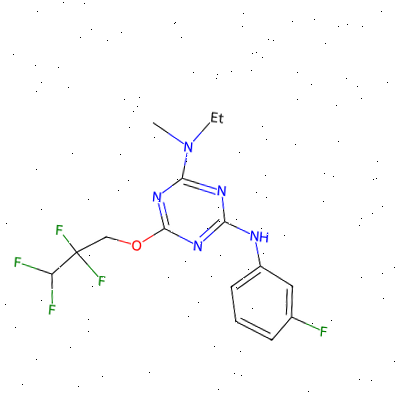 CCN(C)c1nc(Nc2cccc(F)c2)nc(OCC(F)(F)C(F)F)n1